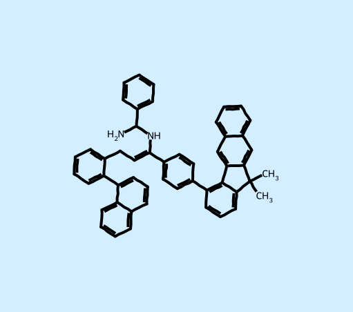 CC1(C)c2cc3ccccc3cc2-c2c(-c3ccc(/C(=C/Cc4ccccc4-c4cccc5ccccc45)NC(N)c4ccccc4)cc3)cccc21